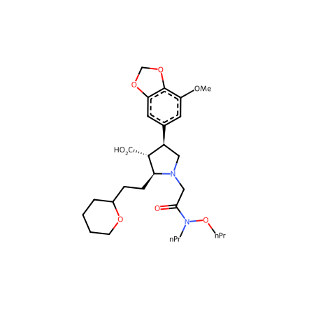 CCCON(CCC)C(=O)CN1C[C@H](c2cc(OC)c3c(c2)OCO3)[C@@H](C(=O)O)[C@@H]1CCC1CCCCO1